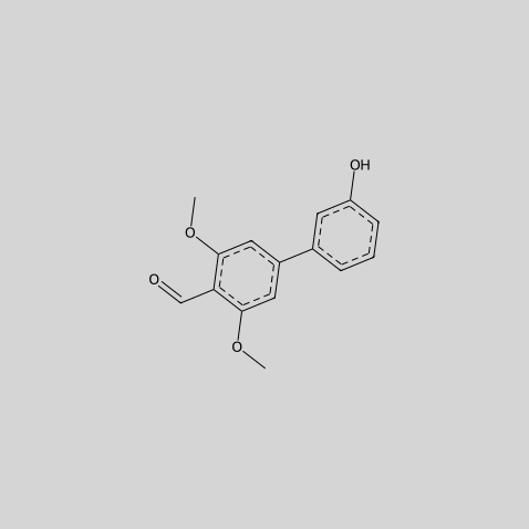 COc1cc(-c2cccc(O)c2)cc(OC)c1C=O